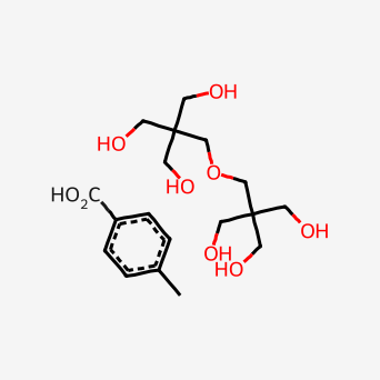 Cc1ccc(C(=O)O)cc1.OCC(CO)(CO)COCC(CO)(CO)CO